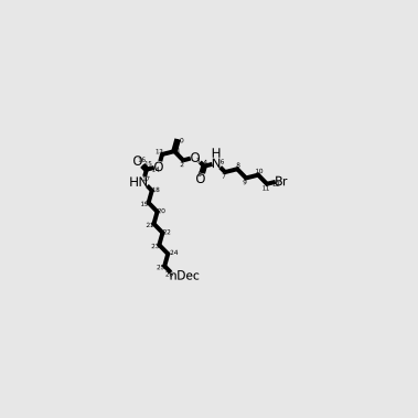 C=C(COC(=O)NCCCCCBr)COC(=O)NCCCCCCCCCCCCCCCCCC